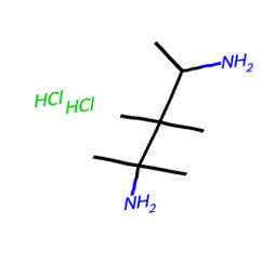 CC(N)C(C)(C)C(C)(C)N.Cl.Cl